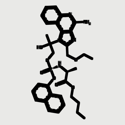 CCCCOC(=O)[C@H](C)N[P@](=O)(OCC(C)(O)n1c(COCC)nc2c(N)nc3ccccc3c21)Oc1cccc2ccccc12